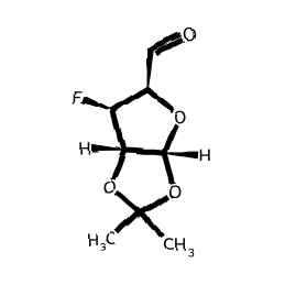 CC1(C)O[C@H]2O[C@H](C=O)[C@H](F)[C@H]2O1